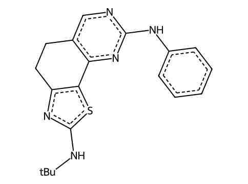 CC(C)(C)Nc1nc2c(s1)-c1nc(Nc3ccccc3)ncc1CC2